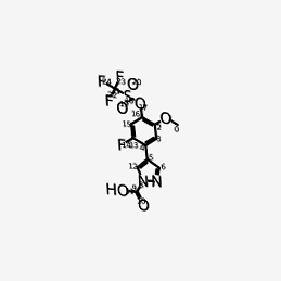 COc1cc(-c2cnn(C(=O)O)c2)c(F)cc1OS(=O)(=O)C(F)(F)F